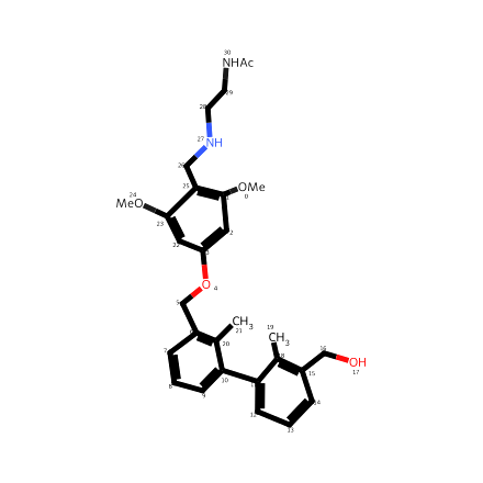 COc1cc(OCc2cccc(-c3cccc(CO)c3C)c2C)cc(OC)c1CNCCNC(C)=O